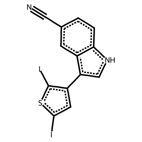 N#Cc1ccc2[nH]cc(-c3cc(I)sc3I)c2c1